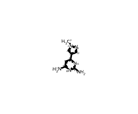 Cn1cc(-c2cc(N)nc(N)n2)cn1